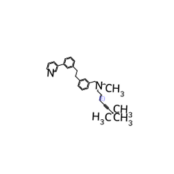 CCN(C/C=C/C#CC(C)(C)C)Cc1cccc(CCc2cccc(-c3cccnc3)c2)c1